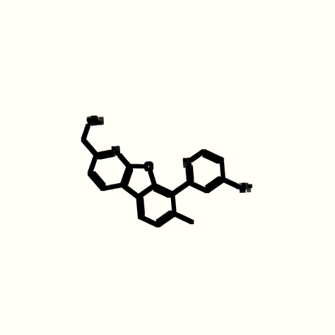 Cc1ccc2c(oc3nc(CC(C)(C)C)ccc32)c1-c1cc(C(C)C)ccn1